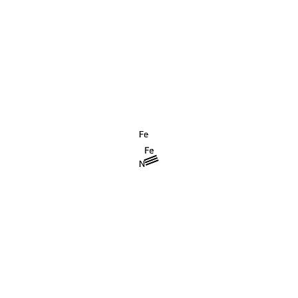 C#N.[Fe].[Fe]